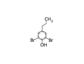 CCCc1cc(Br)c(O)c(Br)c1